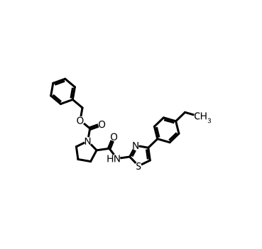 CCc1ccc(-c2csc(NC(=O)C3CCCN3C(=O)OCc3ccccc3)n2)cc1